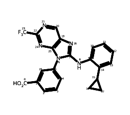 O=C(O)c1cccc(-n2c(Nc3ccccc3C3CC3)nc3cnc(C(F)(F)F)nc32)c1